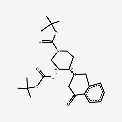 CC(C)(C)OC(=O)O[C@@H]1CN(C(=O)OC(C)(C)C)CC[C@H]1N1CC(=O)c2ccccc2C1